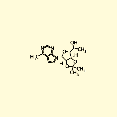 Cc1ncnc2c1ccn2[C@@H]1O[C@@H]([C@H](C)O)[C@H]2OC(C)(C)O[C@H]21